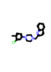 Cc1ccc(N2CCN(Cc3ccc4ccccc4n3)CC2)cc1Cl